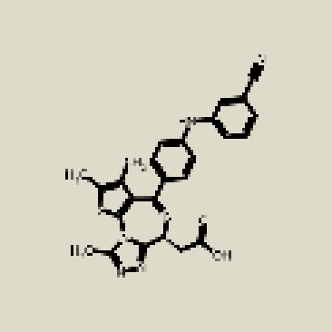 Cc1sc2c(c1C)C(c1ccc(Nc3cccc(C#N)c3)cc1)=N[C@@H](CC(=O)O)c1nnc(C)n1-2